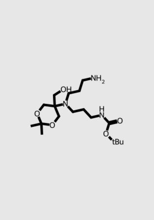 CC(C)(C)OC(=O)NCCCN(CCCN)C1(CO)COC(C)(C)OC1